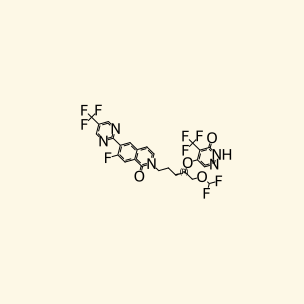 O=c1[nH]ncc(O[C@H](CCCn2ccc3cc(-c4ncc(C(F)(F)F)cn4)c(F)cc3c2=O)COC(F)F)c1C(F)(F)F